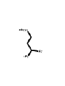 CCCCCCCC(CCC)C(C)=O